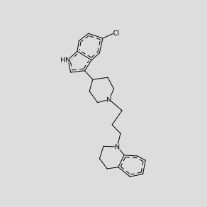 Clc1ccc2[nH]cc(C3CCN(CCCN4CCCc5ccccc54)CC3)c2c1